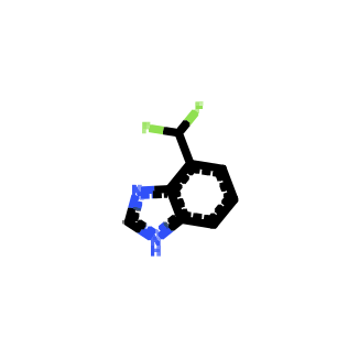 FC(F)c1cccc2[nH][c]nc12